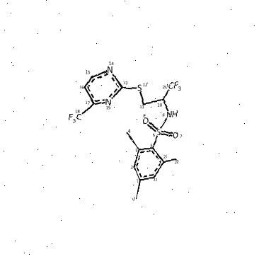 Cc1cc(C)c(S(=O)(=O)NC(CSc2nccc(C(F)(F)F)n2)C(F)(F)F)c(C)c1